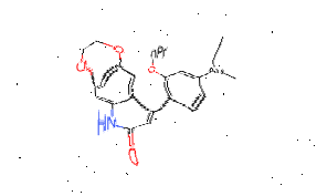 CCCOc1c[c]([Au]([CH3])[CH3])ccc1-c1cc(=O)[nH]c2cc3c(cc12)OCCO3